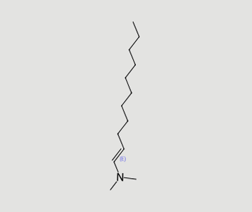 CCCCCCCCC/C=C/N(C)C